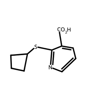 O=C(O)c1cccnc1SC1CCC1